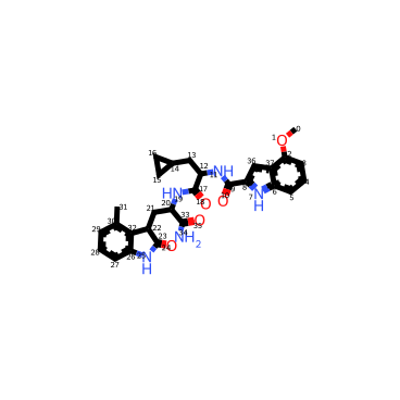 COc1cccc2[nH]c(C(=O)NC(CC3CC3)C(=O)NC(CC3C(=O)Nc4cccc(C)c43)C(N)=O)cc12